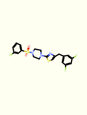 O=S(=O)(c1cccc(F)c1)N1CCN(c2nc(Cc3cc(F)cc(F)c3)cs2)CC1